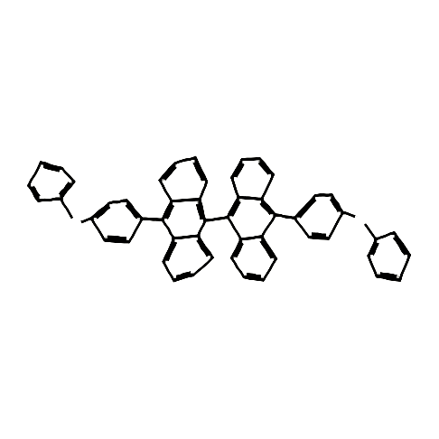 c1ccc(Oc2ccc(-c3c4ccccc4c(-c4c5ccccc5c(-c5ccc(Oc6ccccc6)cc5)c5ccccc45)c4ccccc34)cc2)cc1